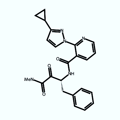 CNC(=O)C(=O)[C@@H](Cc1ccccc1)NC(=O)c1cccnc1-n1ccc(C2CC2)n1